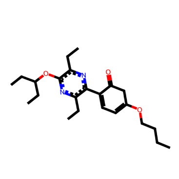 CCCCOC1=CC=C(c2nc(CC)c(OC(CC)CC)nc2CC)C(=O)C1